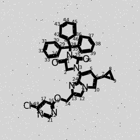 O=C1CN(c2cc(C3CC3)cn3cc(COc4cc(Cl)ncn4)nc23)C(=O)N1C(c1ccccc1)(c1ccccc1)c1ccccc1